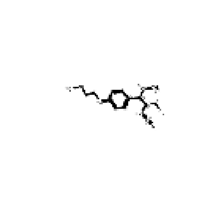 COCCSc1ccc([C@@H](OC)[C@@H](CF)N=[N+]=[N-])cc1